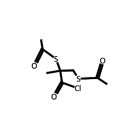 CC(=O)SCC(C)(SC(C)=O)C(=O)Cl